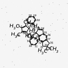 CC1=C(C)[C](C)([Hf]([CH2]c2ccccc2)([CH2]c2ccccc2)[C]2(C)C=Cc3cc4c(cc32)CC(C)(C)C4)C(C)=C1C